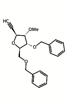 C#C[C@@H]1O[C@H](COCc2ccccc2)[C@@H](OCc2ccccc2)[C@H]1OC